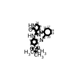 CC(C)(C)S(=O)(=O)c1ccc(Nc2nn(C3CCCCCC3C#N)c3cc[nH]c(=O)c23)cc1